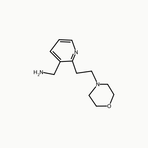 NCc1cccnc1CCN1CCOCC1